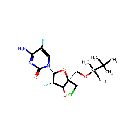 CC(C)(C)[Si](C)(C)OC[C@@]1(CCl)O[C@@H](n2cc(F)c(N)nc2=O)[C@@H](F)[C@@H]1O